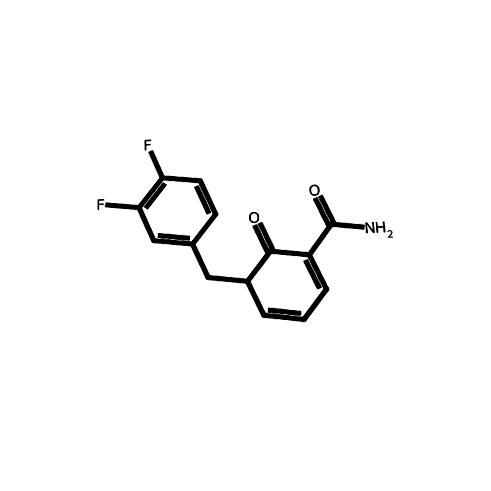 NC(=O)C1=CC=CC(Cc2ccc(F)c(F)c2)C1=O